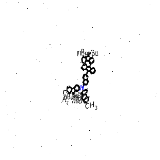 CCCCC1(CCCC)c2cc(C)ccc2-c2ccc(N(c3ccc4c(c3)C(CCCC)(CCCC)c3cc(C)ccc3-4)c3ccc4cc(-c5c6ccccc6c(-c6cccc7c6-c6ccccc6C7(CCCC)CCCC)c6ccccc56)ccc4c3)cc21